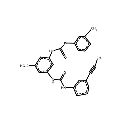 CC#Cc1cccc(NC(=O)Nc2cc(NC(=O)Nc3cccc(C)c3)cc(C(=O)O)c2)c1